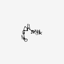 CN(C)C(=O)c1cc2cc(Nc3cc(NC(=O)OC(C)(C)C)cn3C)ccc2o1